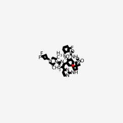 C[C@H]1CN(C2CC(F)(F)C2)C[C@H](C)N1c1nc(-c2cccc(NS(=O)(=O)c3c(F)cccc3F)c2F)c(-c2ccnc(NC3CC4(C3)CS(=O)(=O)C4)n2)s1